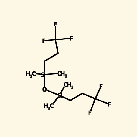 C[Si](C)(CCC(F)(F)F)O[Si](C)(C)CCC(F)(F)F